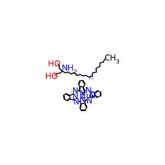 CCCCCCCC/C=C\CCCCCCCCC(N)(CCO)CCO.c1ccc2c(c1)C1=NC/2=N\c2c3ccccc3c3[n]2[Cu][n]2/c(c4ccccc4/c2=N/C2=N\C(=N/3)c3ccccc32)=N\1